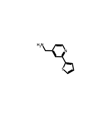 NCc1ccnc(-c2cccs2)c1